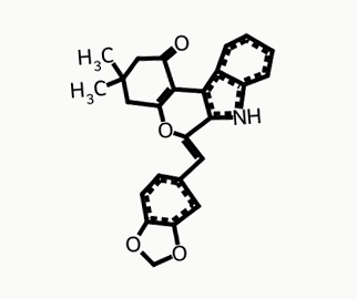 CC1(C)CC(=O)C2=C(C1)O/C(=C\c1ccc3c(c1)OCO3)c1[nH]c3ccccc3c12